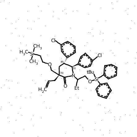 C=CC[C@@]1(COCC[Si](C)(C)C)C[C@H](c2cccc(Cl)c2)[C@@H](c2ccc(Cl)cc2)N(C(CC)CO[Si](c2ccccc2)(c2ccccc2)C(C)(C)C)C1=O